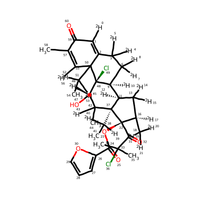 [2H]C1=C2C([2H])([2H])C([2H])([2H])[C@@]3([2H])[C@@]4([2H])C([2H])([2H])[C@@]([2H])(C([2H])([2H])[2H])[C@](OC(=O)c5ccco5)(C(=O)C(C)(C)Cl)[C@@]4(C([2H])([2H])C)C([2H])(C)[C@]([2H])(O)[C@]3(Cl)C2(C([2H])([2H])C)C([2H])=C(C)C1=O